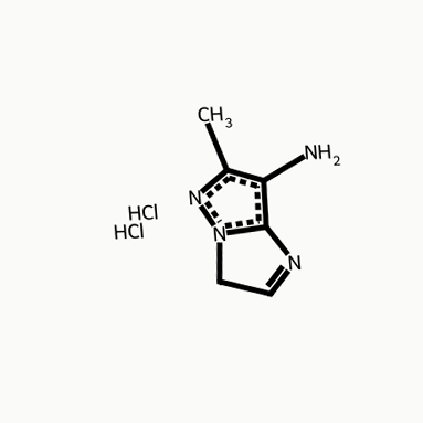 Cc1nn2c(c1N)N=CC2.Cl.Cl